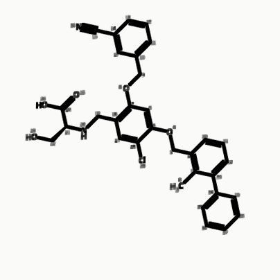 Cc1c(COc2cc(OCc3cccc(C#N)c3)c(CN[C@@H](CO)C(=O)O)cc2Cl)cccc1-c1ccccc1